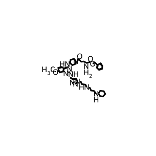 COc1ccc2c(NC3CCN(C(=O)CC[C@H](N)C(=O)OCc4ccccc4)CC3)nc(NCc3cn(CCCNCCCNC4CCCCC4)nn3)nc2c1